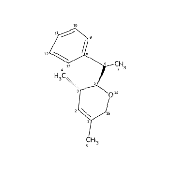 CC1=C[C@H](C)[C@@H](C(C)c2ccccc2)OC1